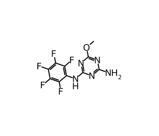 COc1nc(N)nc(Nc2c(F)c(F)c(F)c(F)c2F)n1